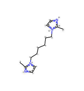 Cc1nccn1CCCCCCn1ccnc1C